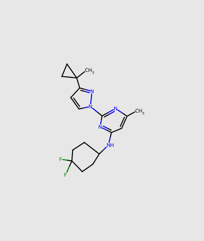 Cc1cc(NC2CCC(F)(F)CC2)nc(-n2ccc(C3(C)CC3)n2)n1